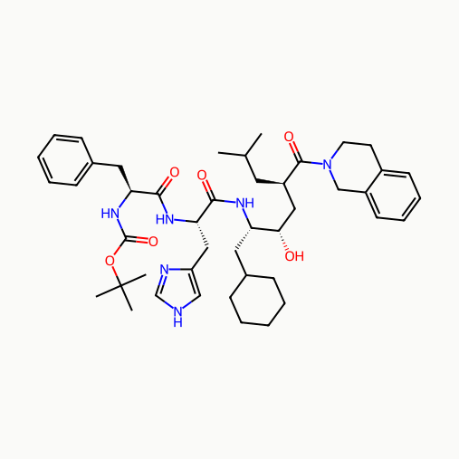 CC(C)C[C@H](C[C@H](O)[C@H](CC1CCCCC1)NC(=O)[C@H](Cc1c[nH]cn1)NC(=O)[C@H](Cc1ccccc1)NC(=O)OC(C)(C)C)C(=O)N1CCc2ccccc2C1